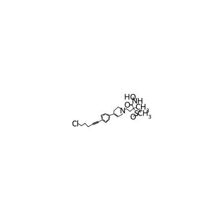 C[S+]([O-])C(C)(CCN1CC=C(c2ccc(C#CCCCCl)cc2)CC1)C(=O)NO